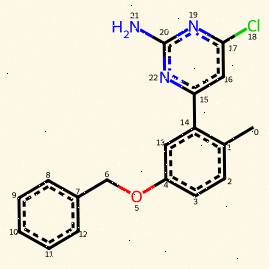 Cc1ccc(OCc2ccccc2)cc1-c1cc(Cl)nc(N)n1